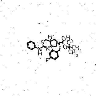 CC(C)(C)OC(=O)N1C[C@H]2CSC(Nc3ccccc3)=N[C@@]2(c2cc(F)ccc2F)C1